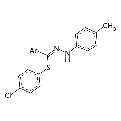 CC(=O)C(=NNc1ccc(C)cc1)Sc1ccc(Cl)cc1